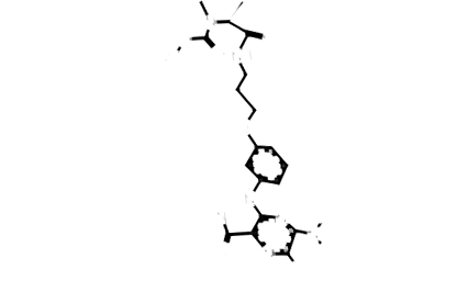 CCc1nc(C(N)=O)c(Nc2cccc(OCCCNC(=O)[C@H](C)N(C)C(=O)OC(C)(C)C)c2)nc1N(CC)CC